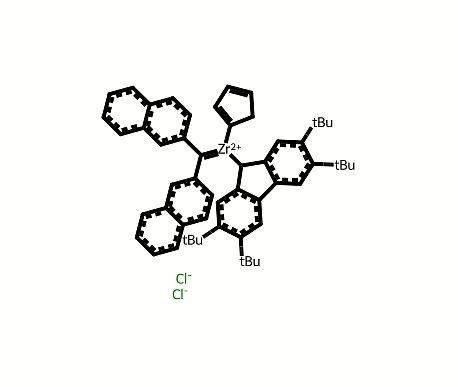 CC(C)(C)c1cc2c(cc1C(C)(C)C)[CH]([Zr+2]([C]1=CC=CC1)=[C](c1ccc3ccccc3c1)c1ccc3ccccc3c1)c1cc(C(C)(C)C)c(C(C)(C)C)cc1-2.[Cl-].[Cl-]